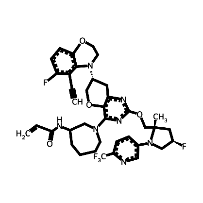 C#Cc1c(F)ccc2c1N([C@H]1COc3c(nc(OC[C@]4(C)C[C@@H](F)CN4c4ccc(C(F)(F)F)nc4)nc3N3CCCCC(NC(=O)C=C)C3)C1)CCO2